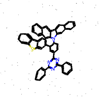 c1ccc(-c2nc(-c3ccccc3)nc(-c3ccc(-n4c5cc6ccccc6cc5c5cc6ccccc6cc54)c(-c4ccc5c(c4)sc4ccccc45)c3)n2)cc1